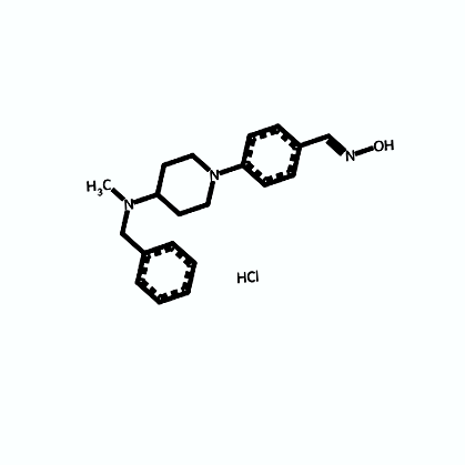 CN(Cc1ccccc1)C1CCN(c2ccc(C=NO)cc2)CC1.Cl